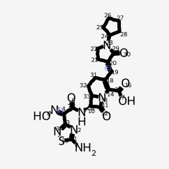 Nc1nc(/C(=N\O)C(=O)N[C@@H]2C(=O)N3C(C(=O)O)=C(/C=C4\CCN(C5CCCC5)C4=O)CCC23)ns1